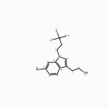 OCCc1cn(CCC(F)(F)F)c2cc(Br)ccc12